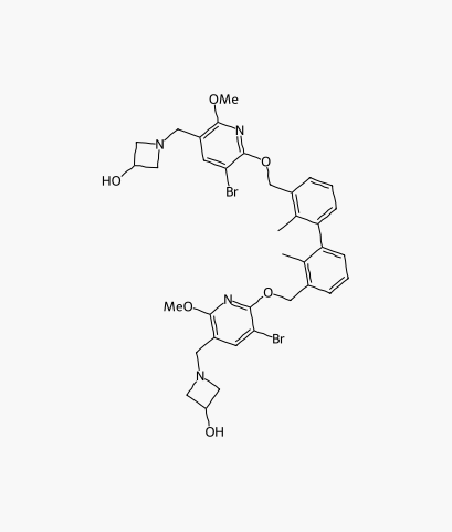 COc1nc(OCc2cccc(-c3cccc(COc4nc(OC)c(CN5CC(O)C5)cc4Br)c3C)c2C)c(Br)cc1CN1CC(O)C1